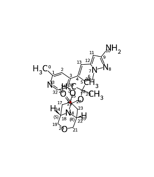 Cc1cc(-c2ccn3nc(N)cc3c2)c(OC2C[C@H]3COC[C@@H](C2)N3C(=O)OC(C)(C)C)cn1